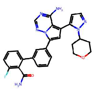 NC(=O)c1c(F)cccc1-c1cccc(-c2cc(-c3ccnn3C3CCOCC3)c3c(N)ncnn23)c1